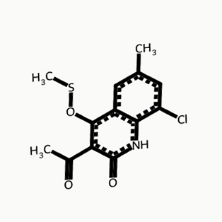 CSOc1c(C(C)=O)c(=O)[nH]c2c(Cl)cc(C)cc12